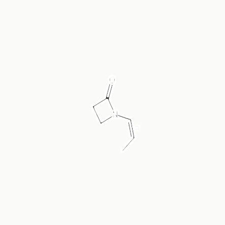 C/C=C\N1CCC1=O